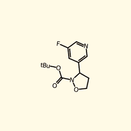 CC(C)(C)OC(=O)N1OCCC1c1cncc(F)c1